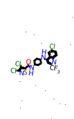 O=C(N[C@H]1CC[C@@H](Nc2cc(C(F)(F)F)nc3ccc(Cl)cc23)CC1)c1snc(Cl)c1Cl